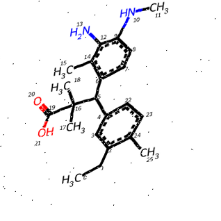 CCc1cc(C(c2ccc(NC)c(N)c2C)C(C)(C)C(=O)O)ccc1C